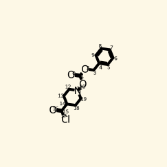 O=C(OCc1ccccc1)ON1CCC(C(=O)Cl)CC1